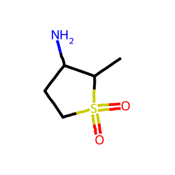 CC1C(N)CCS1(=O)=O